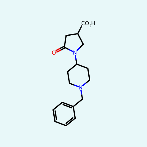 O=C(O)C1CC(=O)N(C2CCN(Cc3ccccc3)CC2)C1